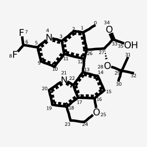 Cc1cc2nc(C(F)F)ccc2c(-c2ccc3c4c(ccnc24)CCO3)c1[C@@H](OC(C)(C)C)C(=O)O